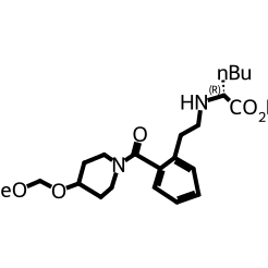 CCCC[C@@H](NCCc1ccccc1C(=O)N1CCC(OCOC)CC1)C(=O)OCC